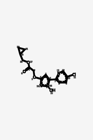 O=C(COc1cc(-c2ccc(Cl)cn2)n(O)n1)OCC1CC1